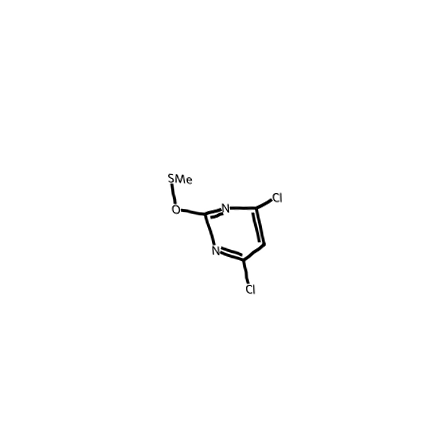 CSOc1nc(Cl)cc(Cl)n1